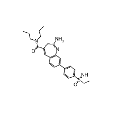 CCCN(CCC)C(=O)C1=Cc2ccc(-c3ccc(S(=N)(=O)CC)cc3)cc2N=C(N)C1